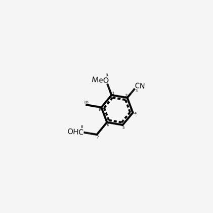 COc1c(C#N)ccc(CC=O)c1C